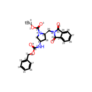 CC(C)(C)OC(=O)N1C[C@H](NC(=O)OCc2ccccc2)C[C@@H]1CN1C(=O)c2ccccc2C1=O